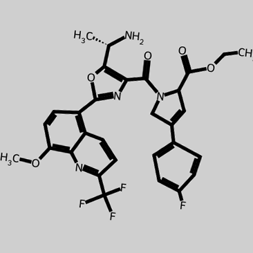 CCOC(=O)C1C=C(c2ccc(F)cc2)CN1C(=O)c1nc(-c2ccc(OC)c3nc(C(F)(F)F)ccc23)oc1[C@H](C)N